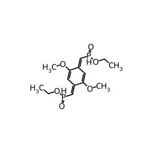 CCO[PH](=O)C=c1cc(OC)c(=C[PH](=O)OCC)cc1OC